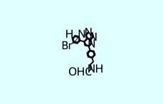 Nc1ncnc2nc(-c3ccc(CCNC=O)cc3)cc(-c3cccc(Br)c3)c12